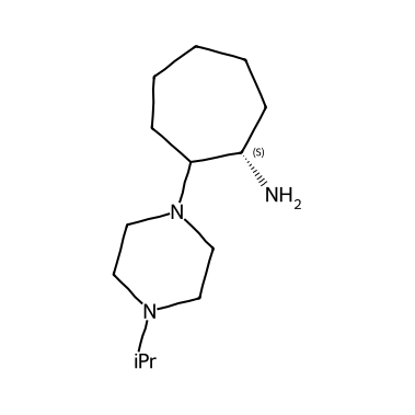 CC(C)N1CCN(C2CCCCC[C@@H]2N)CC1